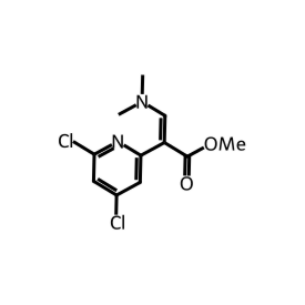 COC(=O)/C(=C/N(C)C)c1cc(Cl)cc(Cl)n1